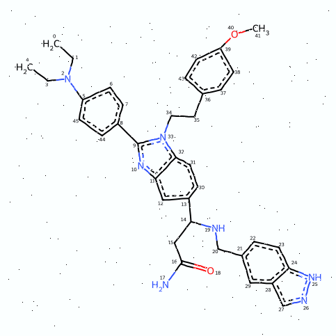 [CH2][CH]N([CH][CH2])c1ccc(-c2nc3cc(C(CC(N)=O)NCc4ccc5[nH]ncc5c4)ccc3n2CCc2ccc(OC)cc2)cc1